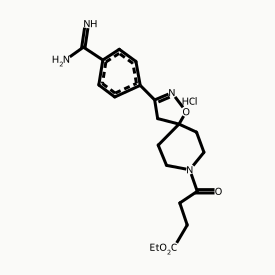 CCOC(=O)CCC(=O)N1CCC2(CC1)CC(c1ccc(C(=N)N)cc1)=NO2.Cl